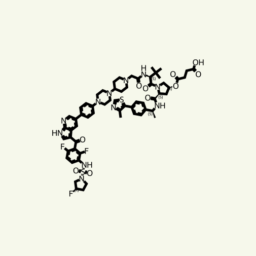 Cc1ncsc1-c1ccc([C@H](C)NC(=O)[C@@H]2C[C@@H](OC(=O)CCC(=O)O)CN2C(=O)[C@@H](NC(=O)CN2CCC(N3CCN(c4ccc(-c5cnc6[nH]cc(C(=O)c7c(F)ccc(NS(=O)(=O)N8CC[C@@H](F)C8)c7F)c6c5)cc4)CC3)CC2)C(C)(C)C)cc1